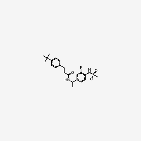 CC(NC(=O)C=Cc1ccc(C(C)(C)C)cc1)c1ccc(NS(C)(=O)=O)c(F)c1